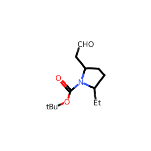 CCC1CCC(CC=O)N1C(=O)OC(C)(C)C